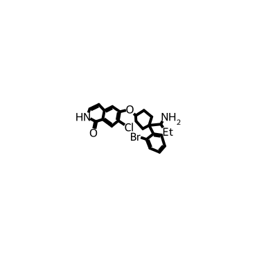 CCC(N)C1(c2ccccc2Br)CCC(Oc2cc3cc[nH]c(=O)c3cc2Cl)CC1